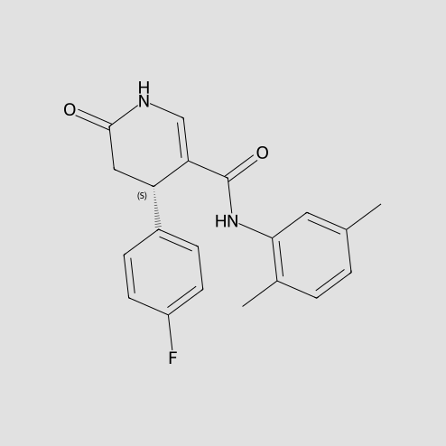 Cc1ccc(C)c(NC(=O)C2=CNC(=O)C[C@H]2c2ccc(F)cc2)c1